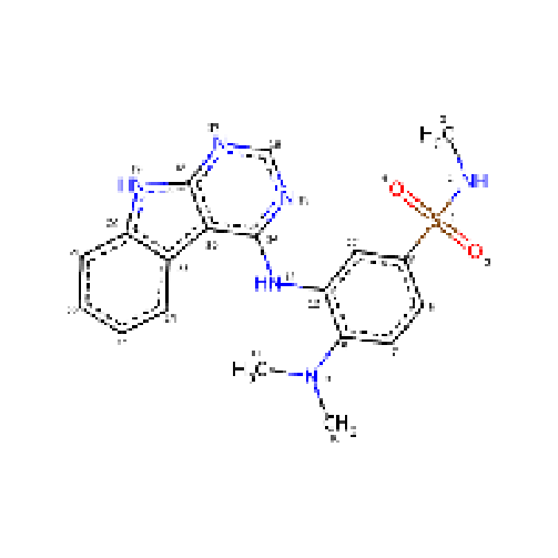 CNS(=O)(=O)c1ccc(N(C)C)c(Nc2ncnc3[nH]c4ccccc4c23)c1